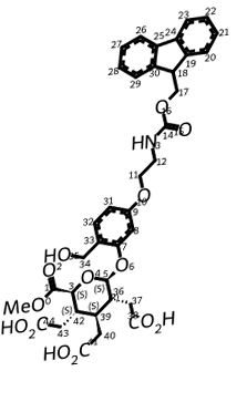 COC(=O)[C@H]1O[C@@H](Oc2cc(OCCNC(=O)OCC3c4ccccc4-c4ccccc43)ccc2CO)[C@H](CC(=O)O)[C@@H](CC(=O)O)[C@@H]1CC(=O)O